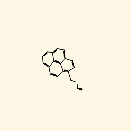 O=COCc1ccc2ccc3cccc4ccc1c2c34